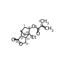 C=C(C)C(=O)OC1CC2CC1(CC)C1COC(=O)C21